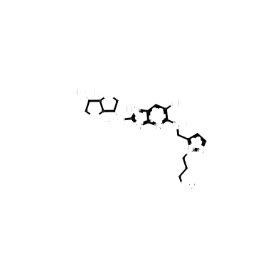 COCCCn1nccc1CNc1nc2nc(O[C@@H]3CO[C@H]4[C@@H]3OC[C@H]4O)[nH]c2cc1Cl